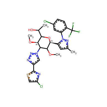 COC1C(n2cc(-c3nc(Cl)cs3)nn2)[C@@H](OC)C(C(C)O)O[C@H]1c1cc(C)nn1-c1cc(Cl)ccc1C(F)(F)F